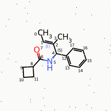 C/C=C(\C)[C@H](NC(=O)C1CCC1)c1ccccc1